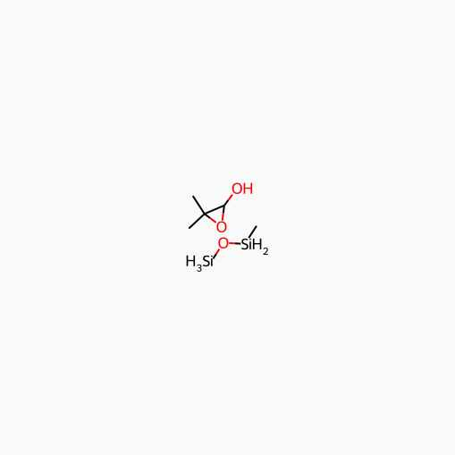 CC1(C)OC1O.C[SiH2]O[SiH3]